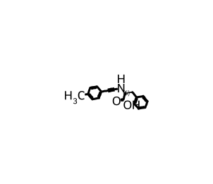 Cc1ccc(C#CN[C@@H](Cc2ccccc2)C(=O)O)cc1